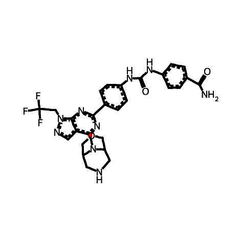 NC(=O)c1ccc(NC(=O)Nc2ccc(-c3nc(N4C5CNCC4COC5)c4cnn(CC(F)(F)F)c4n3)cc2)cc1